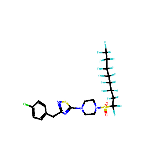 O=S(=O)(N1CCN(c2nc(Cc3ccc(Cl)cc3)ns2)CC1)C(F)(F)C(F)(F)C(F)(F)C(F)(F)C(F)(F)C(F)(F)C(F)(F)C(F)(F)F